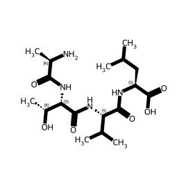 CC(C)C[C@H](NC(=O)[C@@H](NC(=O)[C@@H](NC(=O)[C@@H](C)N)[C@@H](C)O)C(C)C)C(=O)O